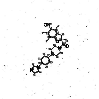 Cc1c(C)c2c(c(C)c1N=O)CC(C)(C(=O)N1CCN(c3ccc(-n4ccnc4)cc3)CC1)O2